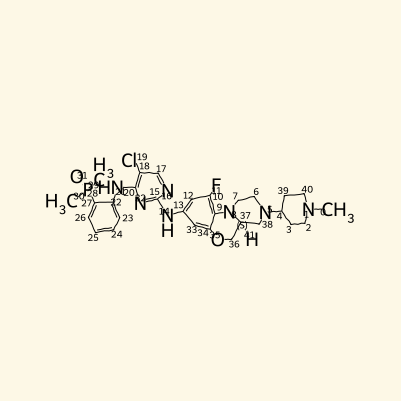 CN1CCC(N2CCN3c4c(F)cc(Nc5ncc(Cl)c(Nc6ccccc6P(C)(C)=O)n5)cc4OC[C@@H]3C2)CC1